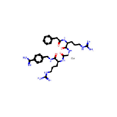 CC[C@H](C)[C@H](NC(=O)C(CCCNC(=N)N)NC(=O)Cc1ccccc1)C(=O)NC(CCCNC(=N)N)C(=O)NCc1ccc(C(=N)N)cc1